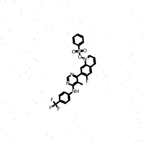 Cc1c(Nc2ccc(C(F)(F)F)cc2)ncnc1-c1cc2c(ccc[n+]2OS(=O)(=O)c2ccccc2)cc1F